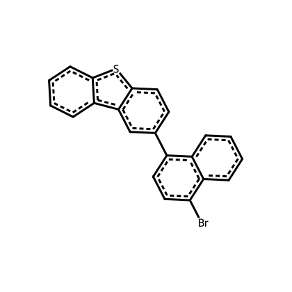 Brc1ccc(-c2ccc3sc4ccccc4c3c2)c2ccccc12